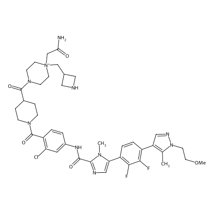 COCCn1ncc(-c2ccc(-c3cnc(C(=O)Nc4ccc(C(=O)N5CCC(C(=O)N6CC[N+](CC(N)=O)(CC7CNC7)CC6)CC5)c(Cl)c4)n3C)c(F)c2F)c1C